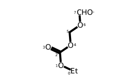 CCOC(=O)OCO[C]=O